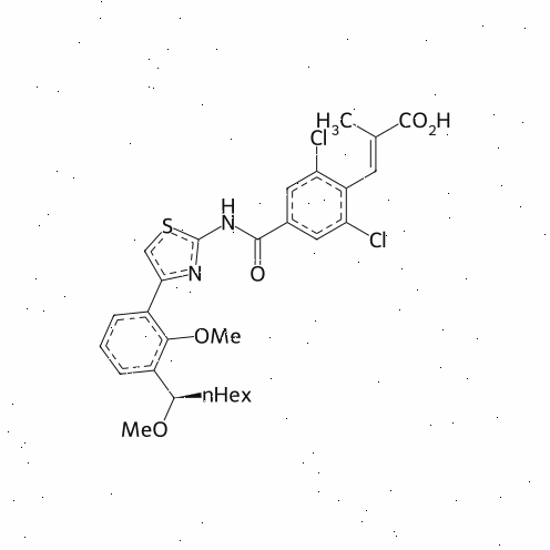 CCCCCC[C@@H](OC)c1cccc(-c2csc(NC(=O)c3cc(Cl)c(/C=C(\C)C(=O)O)c(Cl)c3)n2)c1OC